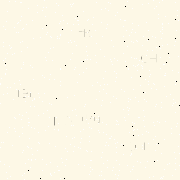 CC(C)(C)c1ccc(O)c(C(C)(C)C)c1.Cc1ccc(O)c(C(C)(C)C)c1